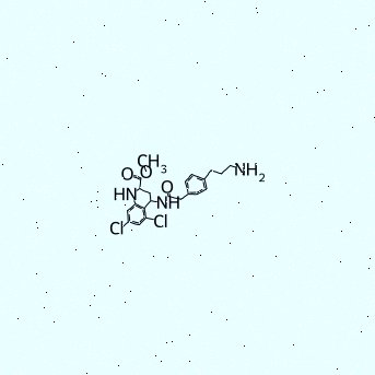 COC(=O)C1CC(NC(=O)Cc2ccc(CCCN)cc2)c2c(Cl)cc(Cl)cc2N1